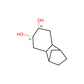 O[C@@H]1CC2C3CCC(C3)C2C[C@@H]1O